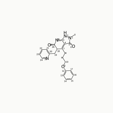 Cn1[nH]c2c(c1=O)=C(CCCOc1ccccc1)C(Cc1ccccn1)C(=O)N=2